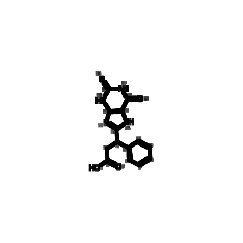 O=C(O)CC(c1ccccc1)c1nc2[nH]c(=O)[nH]c(=O)c2[nH]1